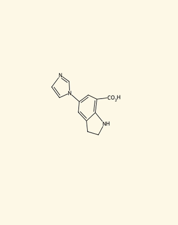 O=C(O)c1cc(-n2ccnc2)cc2c1NCC2